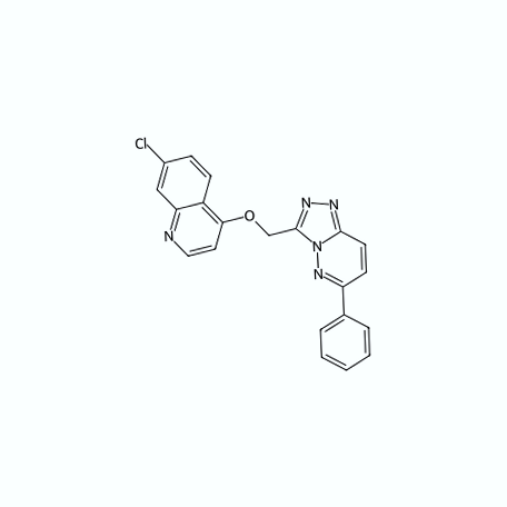 Clc1ccc2c(OCc3nnc4ccc(-c5ccccc5)nn34)ccnc2c1